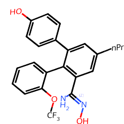 CCCc1cc(/C(N)=N/O)c(-c2ccccc2OC(F)(F)F)c(-c2ccc(O)cc2)c1